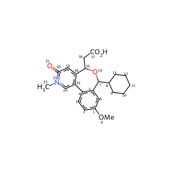 COc1ccc2c(c1)C(C1CCCCC1)OC(CC(=O)O)c1cc(=O)n(C)cc1-2